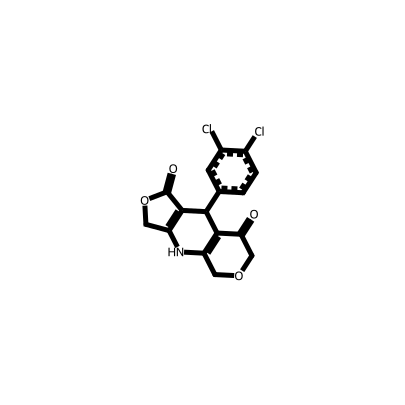 O=C1COCC2=C1C(c1ccc(Cl)c(Cl)c1)C1=C(COC1=O)N2